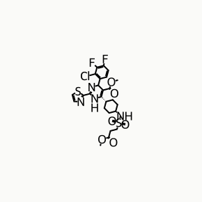 COC(=O)CCS(=O)(=O)N[C@H]1CC[C@H](C2=C(C(=O)OC)C(c3ccc(F)c(F)c3Cl)N=C(c3nccs3)N2)CC1